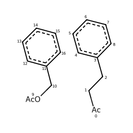 CC(=O)CCc1ccccc1.CC(=O)OCc1ccccc1